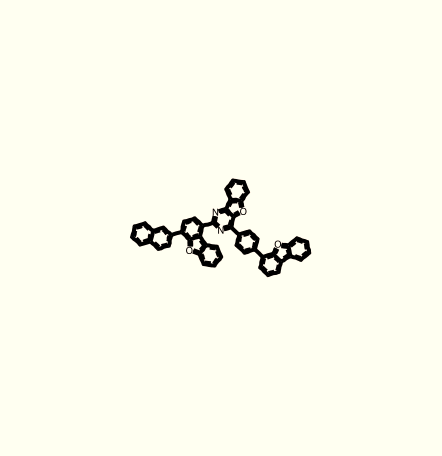 c1ccc2cc(-c3ccc(-c4nc(-c5ccc(-c6cccc7c6oc6ccccc67)cc5)c5oc6ccccc6c5n4)c4c3oc3ccccc34)ccc2c1